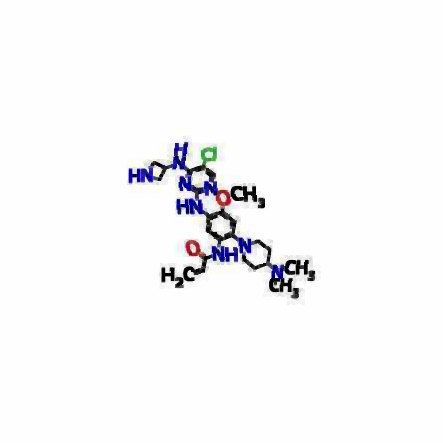 C=CC(=O)Nc1cc(Nc2ncc(Cl)c(NC3CNC3)n2)c(OC)cc1N1CCC(N(C)C)CC1